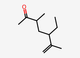 C=C(C)C(CC)CC(C)C(C)=O